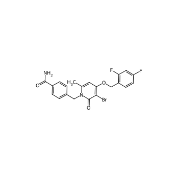 Cc1cc(OCc2ccc(F)cc2F)c(Br)c(=O)n1Cc1ccc(C(N)=O)cc1